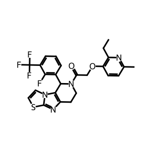 CCc1nc(C)ccc1OCC(=O)N1CCc2nc3sccn3c2C1c1cccc(C(F)(F)F)c1F